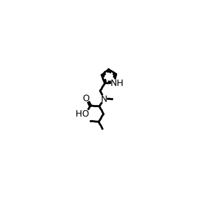 CC(C)CC(C(=O)O)N(C)Cc1ccc[nH]1